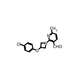 Cc1ccc(C=O)c(N2CC(Oc3ccc(Cl)cc3)C2)n1